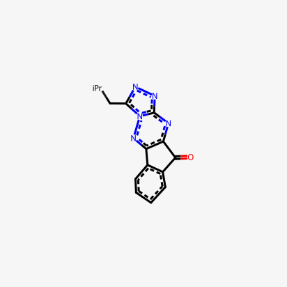 CC(C)Cc1nnc2nc3c(nn12)-c1ccccc1C3=O